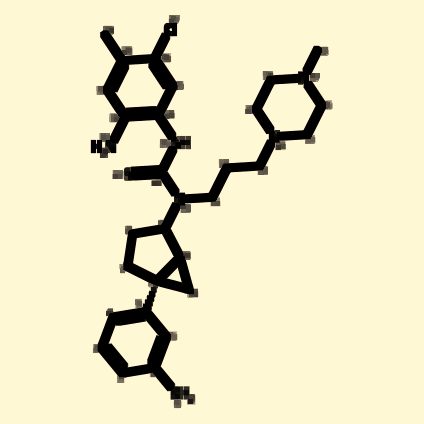 Bc1cccc([C@]23CCC(N(CCCN4CCN(C)CC4)C(=S)Nc4cc(Cl)c(C)cc4N)C2C3)c1